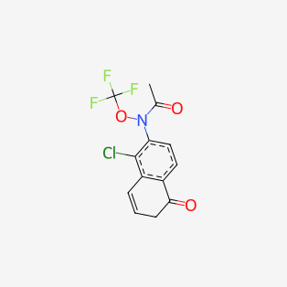 CC(=O)N(OC(F)(F)F)c1ccc2c(c1Cl)C=CCC2=O